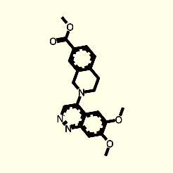 COC(=O)c1ccc2c(c1)CN(c1cnnc3cc(OC)c(OC)cc13)CC2